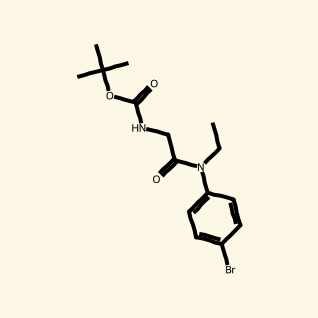 CCN(C(=O)CNC(=O)OC(C)(C)C)c1ccc(Br)cc1